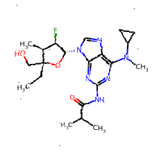 CC[C@]1(CO)O[C@@H](n2cnc3c(N(C)C4CC4)nc(NC(=O)C(C)C)nc32)[C@H](F)[C@@H]1C